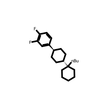 CCCCC1([C@H]2CC[C@H](c3ccc(F)c(F)c3)CC2)CCCCC1